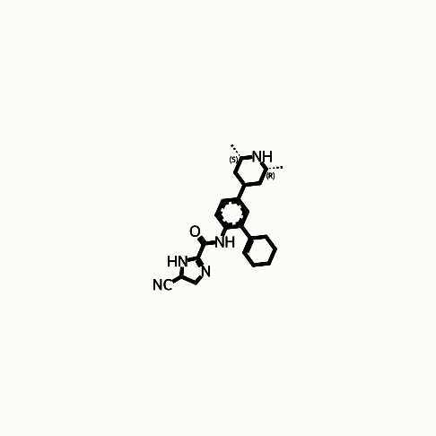 C[C@@H]1CC(c2ccc(NC(=O)C3=NCC(C#N)N3)c(C3=CCCCC3)c2)C[C@H](C)N1